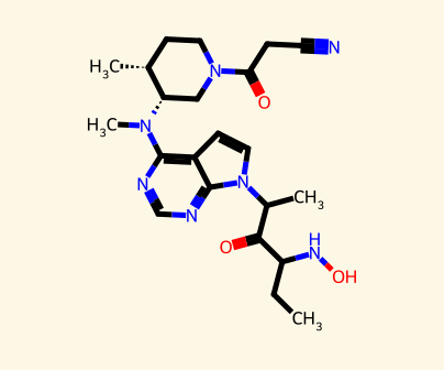 CCC(NO)C(=O)C(C)n1ccc2c(N(C)[C@H]3CN(C(=O)CC#N)CC[C@H]3C)ncnc21